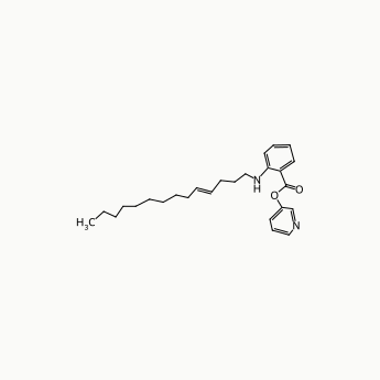 CCCCCCCCCC=CCCCNc1ccccc1C(=O)Oc1cccnc1